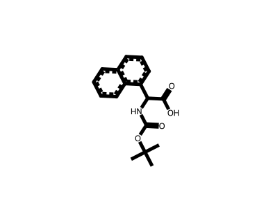 CC(C)(C)OC(=O)NC(C(=O)O)c1cccc2ccccc12